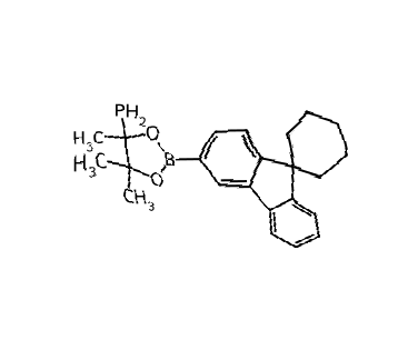 CC1(C)OB(c2ccc3c(c2)-c2ccccc2C32CCCCC2)OC1(C)P